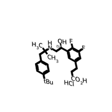 CC(C)(Cc1ccc(C(C)(C)C)cc1)NC[C@@H](O)c1cc(CCC(=O)O)cc(F)c1F.Cl